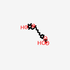 Cc1c(C)c2c(c(C)c1O)CCC(C)(CCCCCCc1ccc(OC(C)(C)C(=O)O)cc1)O2